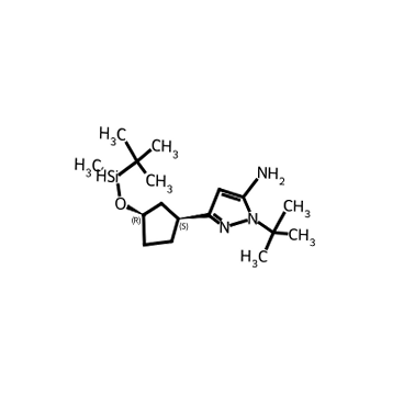 C[SiH](O[C@@H]1CC[C@H](c2cc(N)n(C(C)(C)C)n2)C1)C(C)(C)C